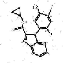 Cc1cc(-n2c(C(=O)NC3CC3)nc3cccnc32)c(Cl)cc1F